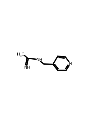 CC(=N)NCc1ccncc1